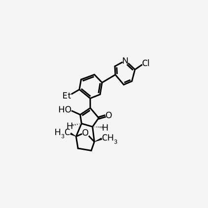 CCc1ccc(-c2ccc(Cl)nc2)cc1C1=C(O)[C@H]2[C@@H](C1=O)[C@]1(C)CC[C@@]2(C)O1